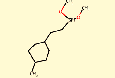 CO[SiH](CCC1CCC(C)CC1)OC